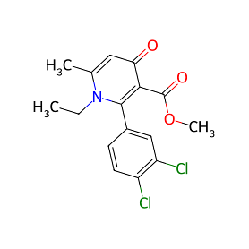 CCn1c(C)cc(=O)c(C(=O)OC)c1-c1ccc(Cl)c(Cl)c1